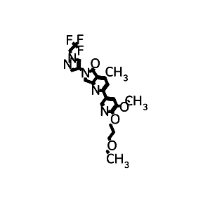 CCOCCCOc1ncc(-c2cc(C)c3c(n2)CN(c2cnn(CC(F)(F)F)c2)C3=O)cc1OC